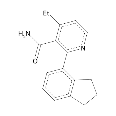 CCc1ccnc(-c2cccc3c2CCC3)c1C(N)=O